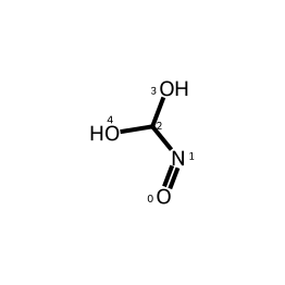 O=NC(O)O